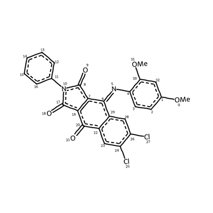 COc1ccc(N=c2c3c(=O)n(-c4ccccc4)c(=O)c=3c(=O)c3cc(Cl)c(Cl)cc23)c(OC)c1